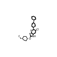 FC[C@H]1CC[C@H](Oc2nc3nc(-c4ccc(-c5ccccc5)cc4)c(Cl)cc3[nH]2)CC1